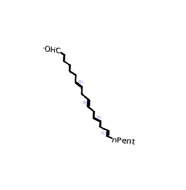 CCCCC/C=C/C/C=C/C/C=C/C/C=C/CCCCC[C]=O